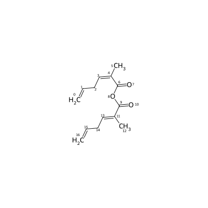 C=CCC=C(C)C(=O)OC(=O)C(C)=CCC=C